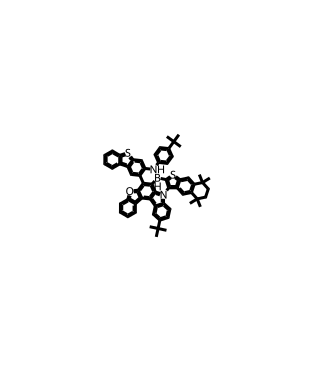 CC(C)(C)c1ccc(Nc2cc3sc4ccccc4c3cc2-c2c3c4c(c5cc(C(C)(C)C)ccc5n4-c4c(sc5cc6c(cc45)C(C)(C)CCC6(C)C)B3)c3c2oc2ccccc23)cc1